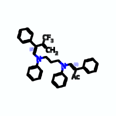 C=C(/C(=C\N(CCCN(/C=C(\C(C)=O)c1ccccc1)c1ccccc1)c1ccccc1)c1ccccc1)C(F)(F)F